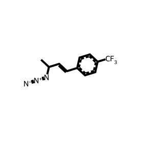 CC(/C=C/c1ccc(C(F)(F)F)cc1)N=[N+]=[N-]